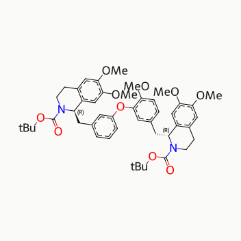 COc1cc2c(cc1OC)[C@@H](Cc1cccc(Oc3cc(C[C@@H]4c5cc(OC)c(OC)cc5CCN4C(=O)OC(C)(C)C)ccc3OC)c1)N(C(=O)OC(C)(C)C)CC2